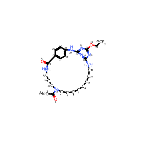 COC(=O)N1CCCCCCCCNc2nc(nc(OCC(F)(F)F)n2)Nc2ccc(cc2)C(=O)NCCC1